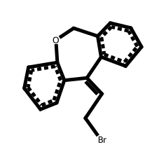 BrCC=C1c2ccccc2COc2ccccc21